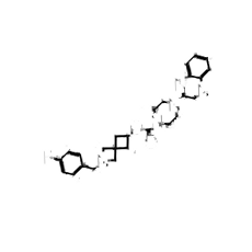 C[C@@H]1CN(c2cnc3ccccc3n2)C[C@H](C)N1C(=O)OC1CC2(C1)CN(Cc1ccc(F)cc1)C2